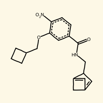 O=C(NCC1C=C2C=C1C2)c1ccc([N+](=O)[O-])c(OCC2CCC2)c1